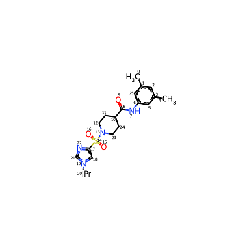 Cc1cc(C)cc(NC(=O)C2CCN(S(=O)(=O)c3cn(C(C)C)cn3)CC2)c1